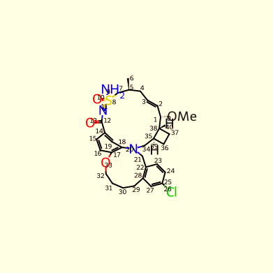 CO[C@H]1/C=C/C[C@H](C)C[S@](N)(=O)=NC(=O)c2ccc3c(c2)N(Cc2ccc(Cl)cc2CCCCO3)C[C@@H]2CC[C@H]21